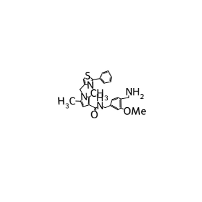 COc1cc(CNC(=O)c2cc(C)n(Cc3csc(-c4ccccc4)n3)c2C)ccc1CN